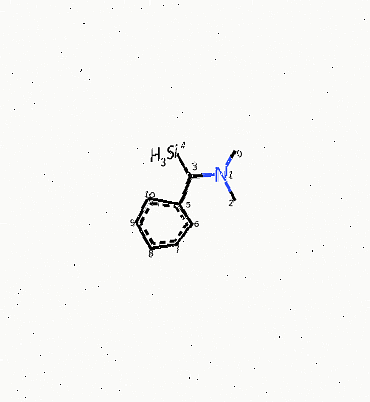 CN(C)C([SiH3])c1ccccc1